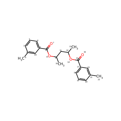 Cc1cccc(C(=O)OC(C)CC(C)OC(=O)c2cccc(C)c2)c1